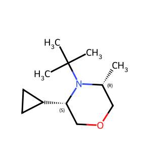 C[C@@H]1COC[C@H](C2CC2)N1C(C)(C)C